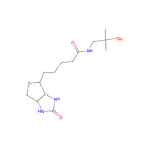 CC(C)(O)CNC(=O)CCCCC1SCC2NC(=O)NC21